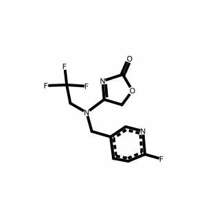 O=C1N=C(N(Cc2ccc(F)nc2)CC(F)(F)F)CO1